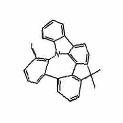 CC1(C)c2cccc3c2-c2c1ccc1c4ccccc4n(c21)-c1c(I)cccc1-3